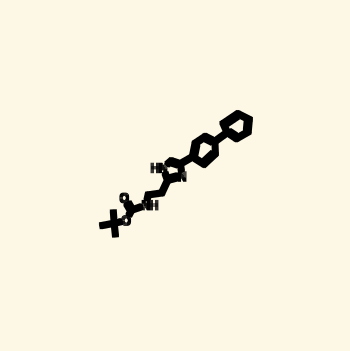 CC(C)(C)OC(=O)NCCc1nc(-c2ccc(-c3ccccc3)cc2)c[nH]1